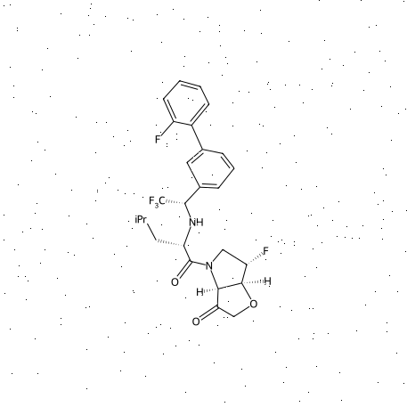 CC(C)C[C@H](N[C@@H](c1cccc(-c2ccccc2F)c1)C(F)(F)F)C(=O)N1C[C@H](F)[C@H]2OCC(=O)[C@H]21